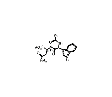 CCC(=O)NC(C(=O)N[C@@H](CC(N)=O)C(=O)O)c1c[nH]c2ccccc12